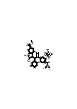 COC(=O)c1ccc2c(c1)NC(=O)C2=C(Nc1ccc(CN(C)C)c(NS(C)(=O)=O)c1)c1ccccc1